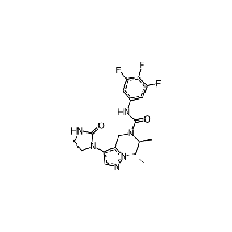 C[C@H]1[C@H](C)n2ncc(N3CCNC3=O)c2CN1C(=O)Nc1cc(F)c(F)c(F)c1